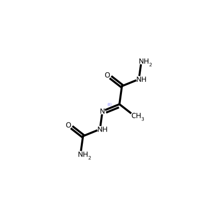 C/C(=N\NC(N)=O)C(=O)NN